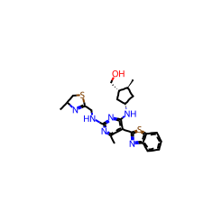 Cc1nc(NCC2=NC(C)CS2)nc(N[C@@H]2C[C@H](CO)[C@@H](C)C2)c1-c1nc2ccccc2s1